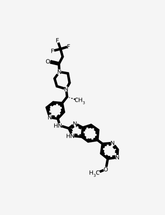 COc1cc(-c2ccc3nc(Nc4cc([C@@H](C)N5CCN(C(=O)CC(F)(F)F)CC5)ccn4)[nH]c3c2)ncn1